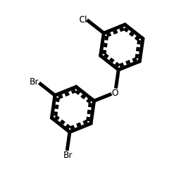 Clc1cccc(Oc2cc(Br)cc(Br)c2)c1